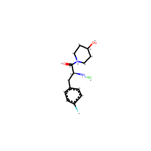 Cl.N[C@@H](Cc1ccc(F)cc1)C(=O)N1CCC(O)CC1